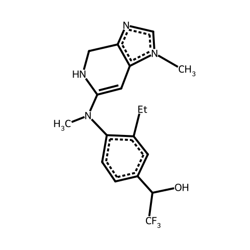 CCc1cc(C(O)C(F)(F)F)ccc1N(C)C1=Cc2c(ncn2C)CN1